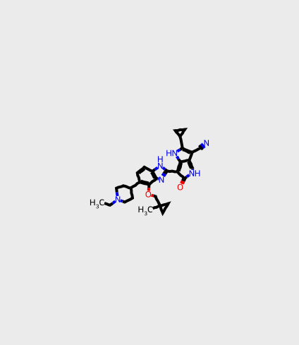 CCN1CCC(c2ccc3[nH]c(-c4c(=O)[nH]cc5c(C#N)c(C6CC6)[nH]c45)nc3c2OCC2(C)CC2)CC1